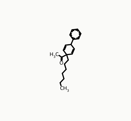 CCCCCCCC1(C(C)=O)C=CC(c2ccccc2)C=C1